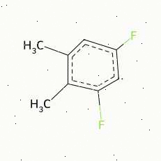 Cc1cc(F)[c]c(F)c1C